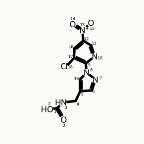 O=C(O)NCc1cnn(-c2ncc([N+](=O)[O-])cc2Cl)c1